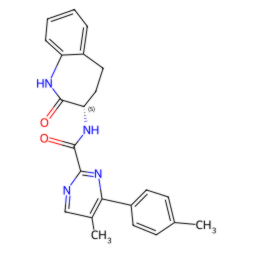 Cc1ccc(-c2nc(C(=O)N[C@H]3CCc4ccccc4NC3=O)ncc2C)cc1